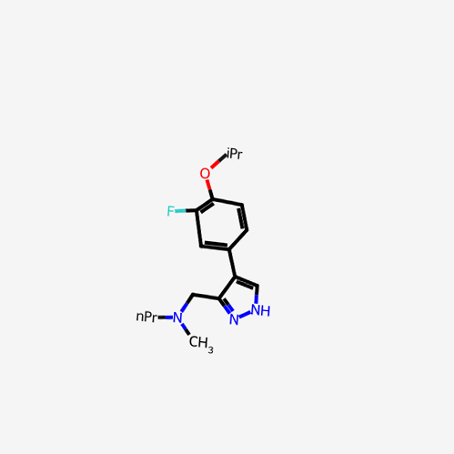 CCCN(C)Cc1n[nH]cc1-c1ccc(OC(C)C)c(F)c1